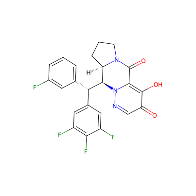 O=C1c2c(O)c(=O)cnn2[C@@H]([C@@H](c2cccc(F)c2)c2cc(F)c(F)c(F)c2)[C@H]2CCCN12